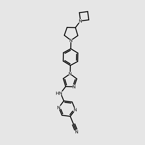 N#Cc1cnc(Nc2cn(-c3ccc(N4CCC(N5CCC5)C4)cc3)cn2)cn1